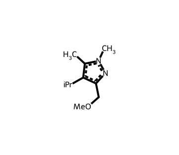 COCc1nn(C)c(C)c1C(C)C